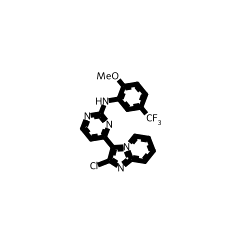 COc1ccc(C(F)(F)F)cc1Nc1nccc(-c2c(Cl)nc3ccccn23)n1